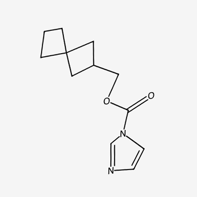 O=C(OCC1CC2(CCC2)C1)n1ccnc1